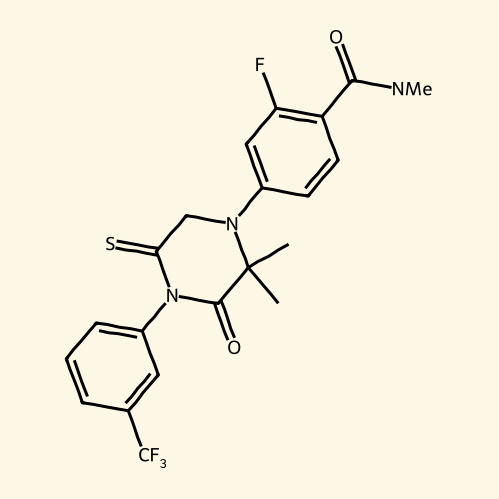 CNC(=O)c1ccc(N2CC(=S)N(c3cccc(C(F)(F)F)c3)C(=O)C2(C)C)cc1F